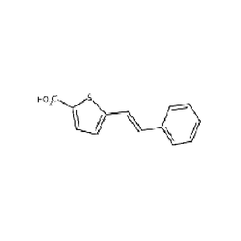 O=C(O)c1ccc(/C=C/c2ccccc2)s1